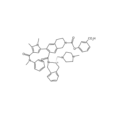 Cc1c(C(=O)N(C)c2ccccc2)cc(-c2cc3c(cc2C(=O)N2Cc4ccccc4C[C@H]2CN2CCN(C)CC2)CN(C(=O)Oc2cccc(C(=O)O)c2)CC3)n1C